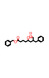 O=C(CCCC(O)CC(CO)Cc1ccccc1)OCc1ccccc1